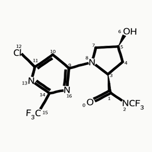 O=C(NC(F)(F)F)[C@@H]1C[C@H](O)CN1c1cc(Cl)nc(C(F)(F)F)n1